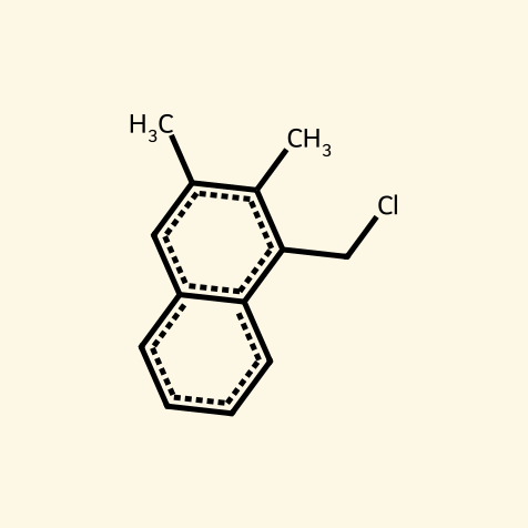 Cc1cc2ccccc2c(CCl)c1C